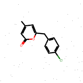 Cc1cc(Cc2ccc(Cl)cc2)oc(=O)c1